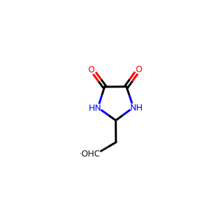 O=[C]CC1NC(=O)C(=O)N1